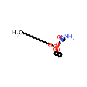 CCCCCCCCCCCCCCCCCCOCCOP(=O)(COCCn1ccc(N)nc1=O)Oc1cccc2ccccc12